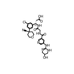 N#CC1(c2cc(Cl)cc([C@H](CC(=O)O)NC(=O)CNC(=O)c3cncc(NC4=NCC(O)CN4)c3)c2)CCOCC1